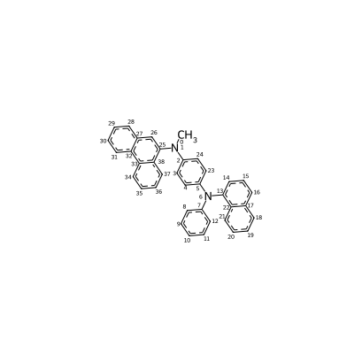 CN(c1ccc(N(c2ccccc2)c2cccc3ccccc23)cc1)c1cc2ccccc2c2ccccc12